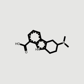 CN(C)C1CCc2[nH]c3c(C(=O)O)cccc3c2C1